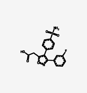 NS(=O)(=O)c1ccc(-c2c(-c3cccc(F)c3)noc2CC(=O)O)cc1